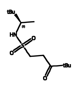 C[C@@H](NS(=O)(=O)CCC(=O)C(C)(C)C)C(C)(C)C